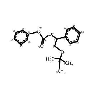 CC(C)(C)OCC(OC(=O)Oc1ccccc1)c1ccccc1